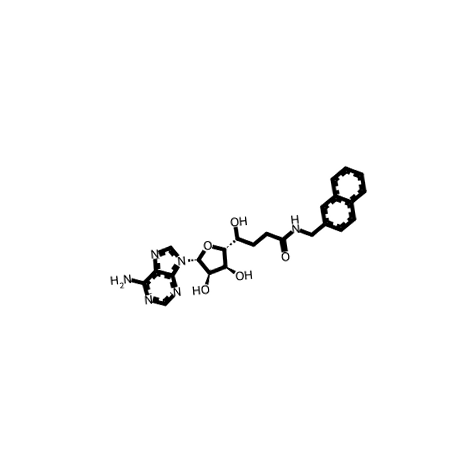 Nc1ncnc2c1ncn2[C@@H]1O[C@H](C(O)CCC(=O)NCc2ccc3ccccc3c2)[C@@H](O)[C@H]1O